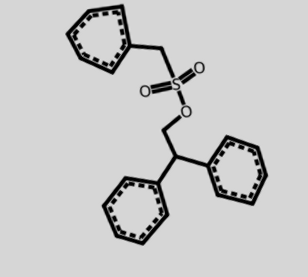 O=S(=O)(Cc1ccccc1)OCC(c1ccccc1)c1ccccc1